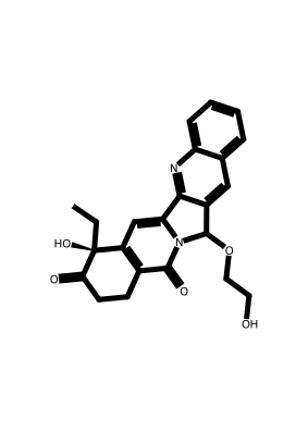 CC[C@@]1(O)C(=O)CCc2c1cc1n(c2=O)C(OCCO)c2cc3ccccc3nc2-1